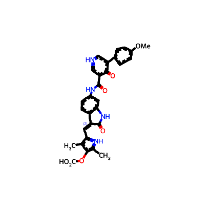 COc1ccc(-c2c[nH]cc(C(=O)Nc3ccc4c(c3)NC(=O)/C4=C\c3[nH]c(C)c(OC(=O)O)c3C)c2=O)cc1